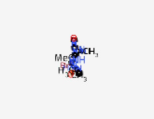 COc1cc(N2CCC(N3CCOCC3)CC2)c(-c2cnn(C)c2)cc1Nc1ncc(Br)c(Nc2cnc3ccccc3c2P(C)(C)=O)n1